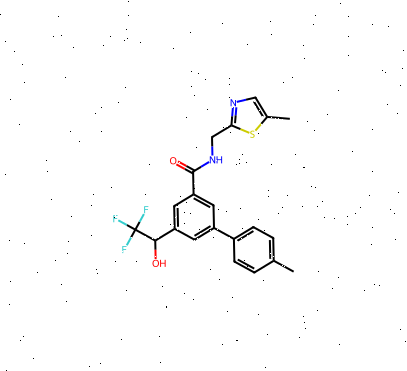 Cc1ccc(-c2cc(C(=O)NCc3ncc(C)s3)cc(C(O)C(F)(F)F)c2)cc1